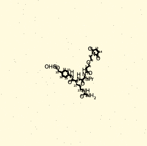 CC(C)[C@H](NC(=O)CCOCCN1C(=O)C=CC1=O)C(=O)N[C@@H](CCCNC(N)=O)C(=O)Nc1ccc(COC=O)cc1